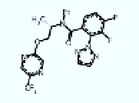 CCN(C(=O)c1ccc(F)c(F)c1-n1nccn1)[C@@H](C)COc1cnc(C(F)(F)F)cn1